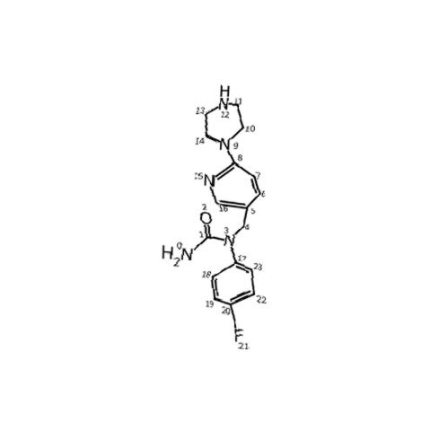 NC(=O)N(Cc1ccc(N2CCNCC2)nc1)c1ccc(F)cc1